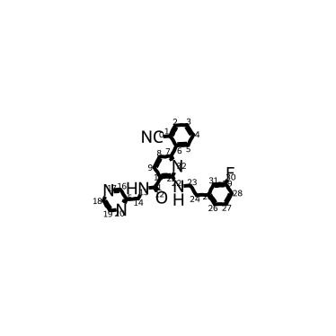 N#Cc1ccccc1-c1ccc(C(=O)NCc2cnccn2)c(NCCc2cccc(F)c2)n1